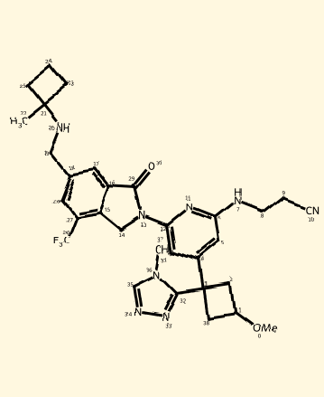 COC1CC(c2cc(NCCC#N)nc(N3Cc4c(cc(CNC5(C)CCC5)cc4C(F)(F)F)C3=O)c2)(c2nncn2C)C1